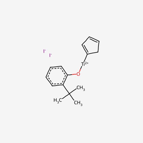 CC(C)(C)c1ccccc1[O][Ti+2][C]1=CC=CC1.[I-].[I-]